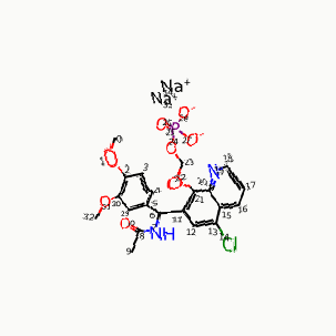 COc1ccc(C(NC(C)=O)c2cc(Cl)c3cccnc3c2OCOP(=O)([O-])[O-])cc1OC.[Na+].[Na+]